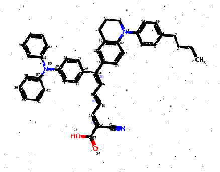 CCCCc1ccc(N2CCCc3cc(/C(=C/C=C/C=C(\C#N)C(=O)O)c4ccc(N(c5ccccc5)c5ccccc5)cc4)ccc32)cc1